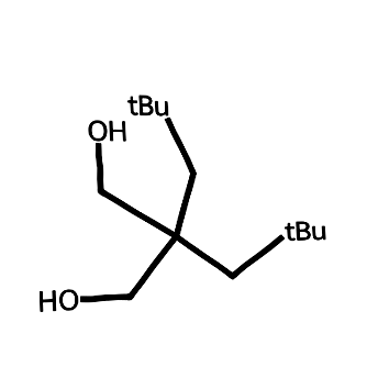 CC(C)(C)CC(CO)(CO)CC(C)(C)C